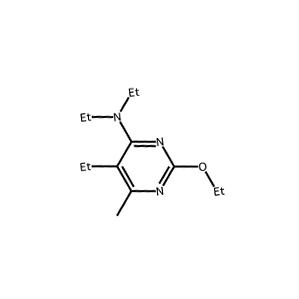 CCOc1nc(C)c(CC)c(N(CC)CC)n1